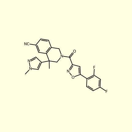 Cn1cc(C2(C)CN(C(=O)c3cc(-c4ccc(F)cc4F)on3)Cc3ccc(C#N)cc32)cn1